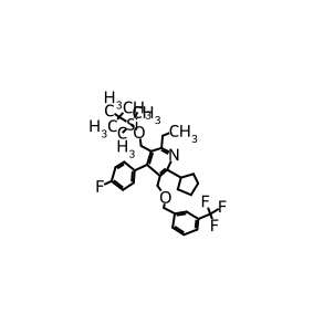 CCc1nc(C2CCCC2)c(COCc2cccc(C(F)(F)F)c2)c(-c2ccc(F)cc2)c1CO[Si](C)(C)C(C)(C)C